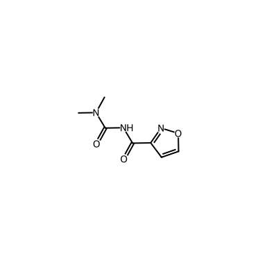 CN(C)C(=O)NC(=O)c1ccon1